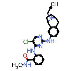 C#CCN1C2CCC1c1cc(Nc3ncc(Cl)c(Nc4ccccc4C(=O)NC)n3)ccc1C2